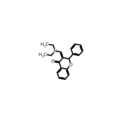 CCN(C=C1C(=O)c2ccccc2OC1c1ccccc1)CC